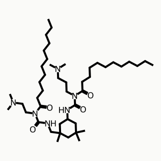 CCCCCCCCCCCC(=O)N(CCN(C)C)C(=O)NCC1(C)CC(NC(=O)N(CCCN(C)C)C(=O)CCCCCCCCCCC)CC(C)(C)C1